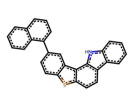 c1ccc2c(-c3ccc4sc5ccc6c7ccccc7[nH]c6c5c4c3)cccc2c1